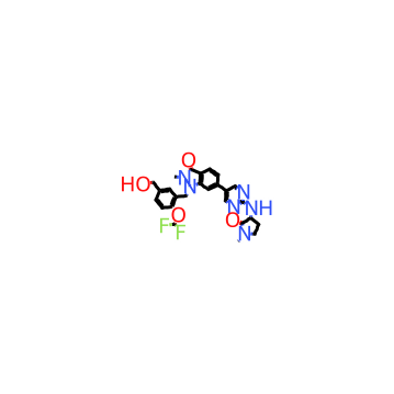 CN1CCC(Nc2ncc(-c3ccc4c(=O)n(C)n(Cc5cc(CO)ccc5OC(F)F)c4c3)cn2)C1=O